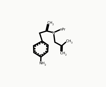 C=C(C)CN(CCC)C(=C)Cc1ccc(N)cc1